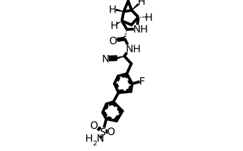 N#C[C@H](Cc1ccc(-c2ccc(S(N)(=O)=O)cc2)cc1F)NC(=O)[C@H]1N[C@H]2C[C@@H]1[C@@H]1C[C@@H]12